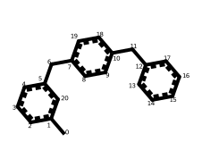 Cc1cccc(Cc2ccc(Cc3ccccc3)cc2)c1